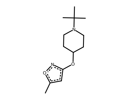 Cc1cc(OC2CCN(C(C)(C)C)CC2)no1